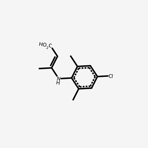 CC(=CC(=O)O)Nc1c(C)cc(Cl)cc1C